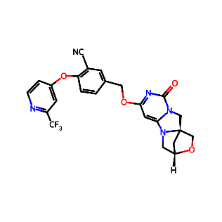 N#Cc1cc(COc2cc3n(c(=O)n2)C[C@]24CO[C@H](CN32)C4)ccc1Oc1ccnc(C(F)(F)F)c1